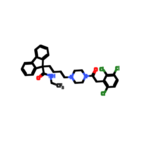 O=C(Cc1c(Cl)ccc(Cl)c1Cl)N1CCN(CCCCC2(C(=O)NCC(F)(F)F)c3ccccc3-c3ccccc32)CC1